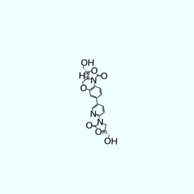 O=C1O[C@@H](CO)CN1c1ccc(-c2ccc3c(c2)OC[C@H]2[C@H](CO)OC(=O)N32)cn1